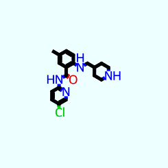 Cc1ccc(NCC2CCNCC2)c(C(=O)Nc2ccc(Cl)cn2)c1